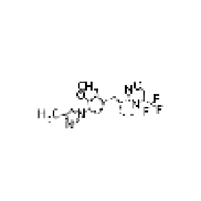 COc1cc(/C=C2\CCCN3C2=NOCC3C(F)(F)F)ccc1-n1cnc(C)c1